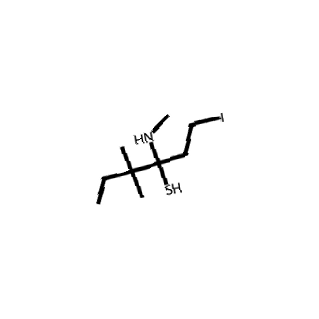 CCC(C)(C)C(S)(CCI)NC